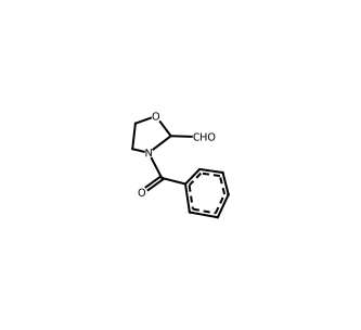 O=CC1OCCN1C(=O)c1ccccc1